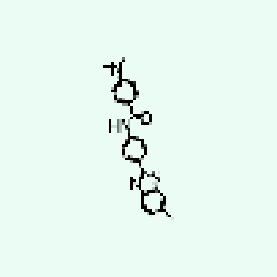 Cc1ccc2nc(-c3ccc(NC(=O)c4ccc(N(C)C)cc4)cc3)sc2c1